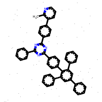 Cc1ncccc1-c1ccc(-c2nc(-c3ccccc3)nc(-c3ccc(-c4c(-c5ccccc5)cc(-c5ccccc5)cc4-c4ccccc4)cc3)n2)cc1